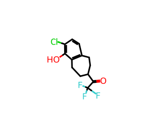 O=C(C1CCc2ccc(Cl)c(O)c2CC1)C(F)(F)F